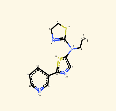 CCN(C1=NCCS1)c1cnc(-c2cccnc2)s1